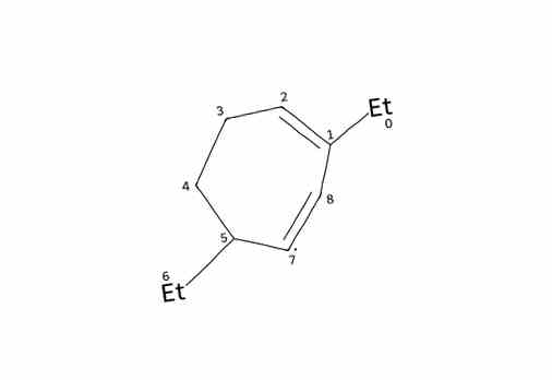 CCC1=CCCC(CC)[C]=C1